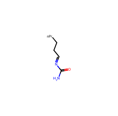 CCCCCC=NC(N)=O